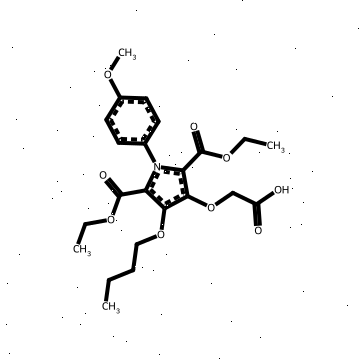 CCCCOc1c(OCC(=O)O)c(C(=O)OCC)n(-c2ccc(OC)cc2)c1C(=O)OCC